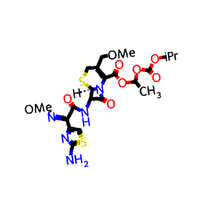 COCC1=C(C(=O)OC(C)OC(=O)OC(C)C)N2C(=O)C(NC(=O)/C(=N\OC)c3csc(N)n3)[C@H]2SC1